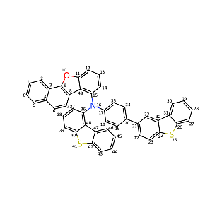 c1ccc2c(c1)ccc1c2oc2cccc(N(c3ccc(-c4ccc5sc6ccccc6c5c4)cc3)c3cccc4sc5ccccc5c34)c21